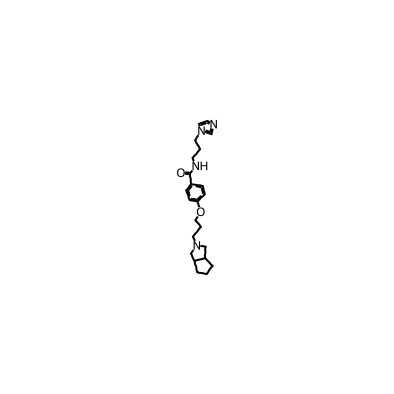 O=C(NCCCn1ccnc1)c1ccc(OCCCN2CC3CCCC3C2)cc1